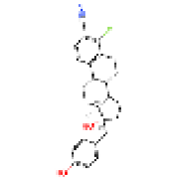 C[C@]12CCC3c4ccc(C#N)c(F)c4CCC3C1CC[C@@]2(O)Cc1ccc(O)cc1